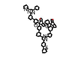 c1ccc(-c2cc(-c3ccccn3)nc(-c3cccc(-c4ccc5c(c4)Oc4cc(-c6cccc(-c7cc(-c8ccc9c(c8)sc8ccccc89)nc(-c8cccc(-c9ccc%10c(c9)Oc9ccccc9C%109c%10ccccc%10-c%10ccccc%109)c8)n7)c6)ccc4C54c5ccccc5-c5ccccc54)c3)n2)cc1